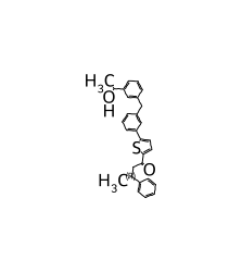 CC(O)c1cccc(Cc2cccc(-c3ccc(C(=O)C[C@@H](C)c4ccccc4)s3)c2)c1